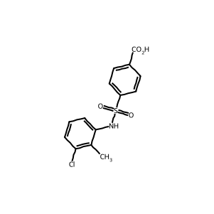 Cc1c(Cl)cccc1NS(=O)(=O)c1ccc(C(=O)O)cc1